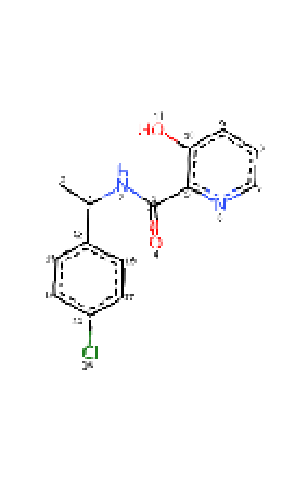 CC(NC(=O)c1ncccc1O)c1ccc(Cl)cc1